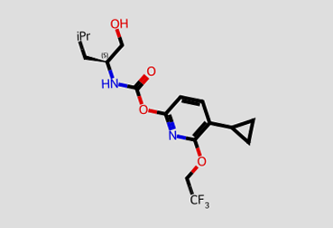 CC(C)C[C@@H](CO)NC(=O)Oc1ccc(C2CC2)c(OCC(F)(F)F)n1